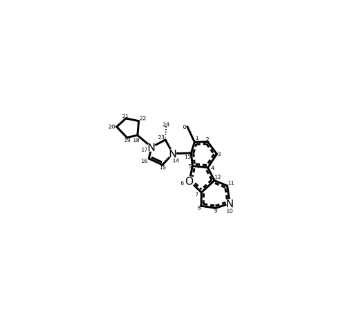 Cc1ccc2c(oc3ccncc32)c1N1C=CN(C2CCCC2)[C@@H]1C